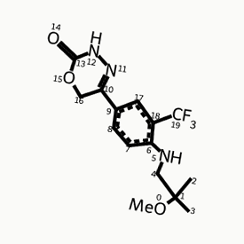 COC(C)(C)CNc1ccc(C2=NNC(=O)OC2)cc1C(F)(F)F